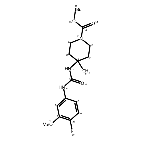 COc1cc(NC(=O)NC2(C)CCN(C(=O)OC(C)(C)C)CC2)ccc1F